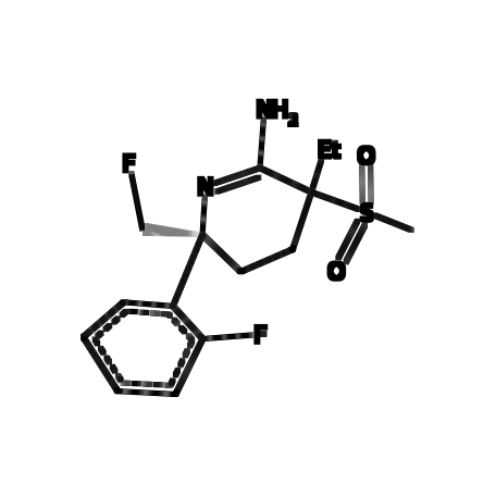 CCC1(S(C)(=O)=O)CC[C@@](CF)(c2ccccc2F)N=C1N